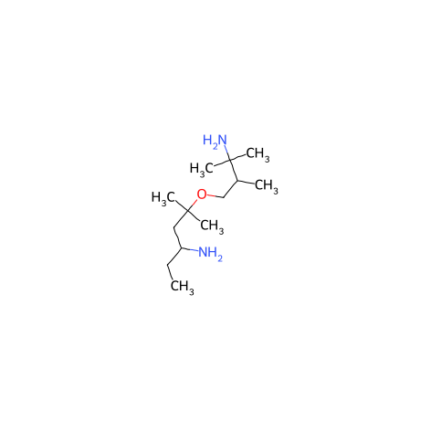 CCC(N)CC(C)(C)OCC(C)C(C)(C)N